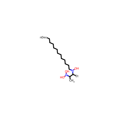 CCCCCCCCCCCCCCCCCCCCCCN(O)C(CC)C(C)N(O)O